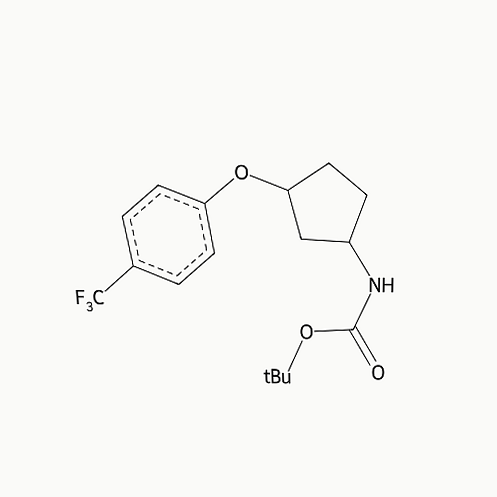 CC(C)(C)OC(=O)NC1CCC(Oc2ccc(C(F)(F)F)cc2)C1